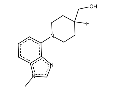 Cn1cnc2c(N3CCC(F)(CO)CC3)cccc21